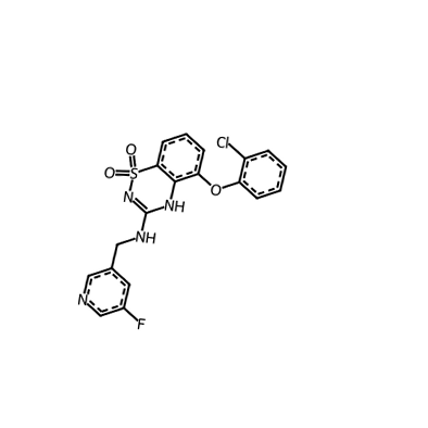 O=S1(=O)N=C(NCc2cncc(F)c2)Nc2c(Oc3ccccc3Cl)cccc21